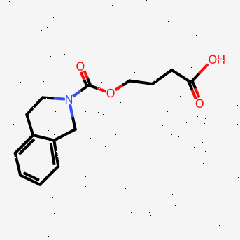 O=C(O)CCCOC(=O)N1CCc2ccccc2C1